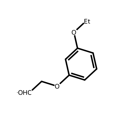 CCOc1cccc(OC[C]=O)c1